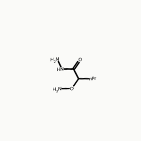 CCCC(ON)C(=O)NN